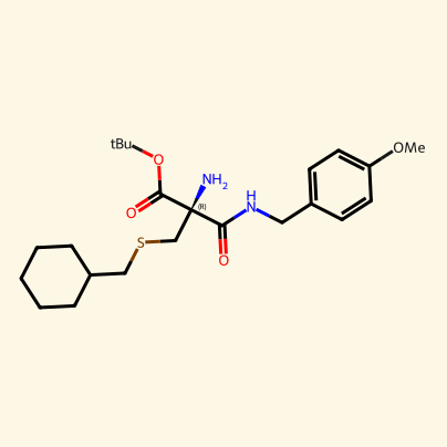 COc1ccc(CNC(=O)[C@](N)(CSCC2CCCCC2)C(=O)OC(C)(C)C)cc1